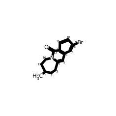 CC1CCc2cc3cc(Br)ccc3c(=O)n2CC1